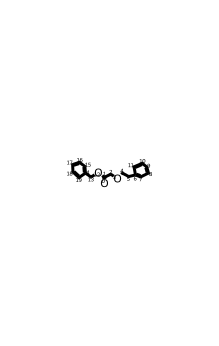 O=C(COCCc1ccccc1)OCc1ccccc1